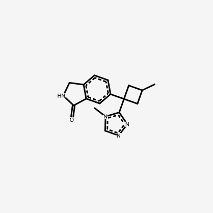 CC1CC(c2ccc3c(c2)C(=O)NC3)(c2nncn2C)C1